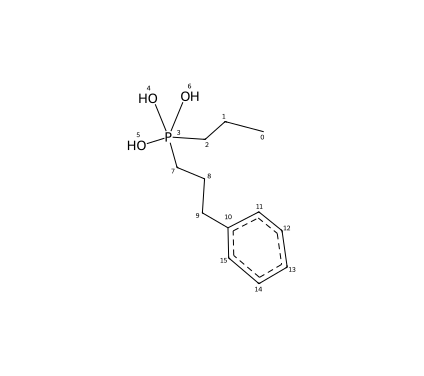 CCCP(O)(O)(O)CCCc1ccccc1